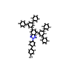 CCc1ccc(-c2ccc(-n3nc4cc(-c5cc(-c6ccccc6)cc(-c6ccccc6)c5)cc(-c5cc(-c6ccccc6)cc(-c6ccccc6)c5)c4n3)cc2)cc1